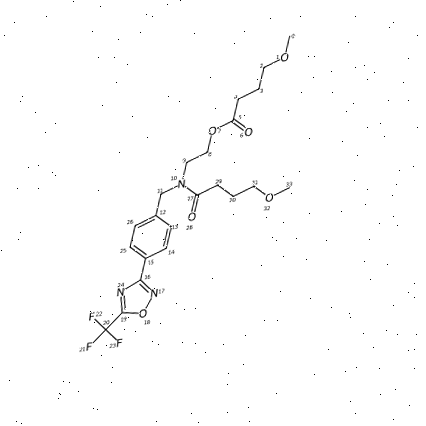 COCCCC(=O)OCCN(Cc1ccc(-c2noc(C(F)(F)F)n2)cc1)C(=O)CCCOC